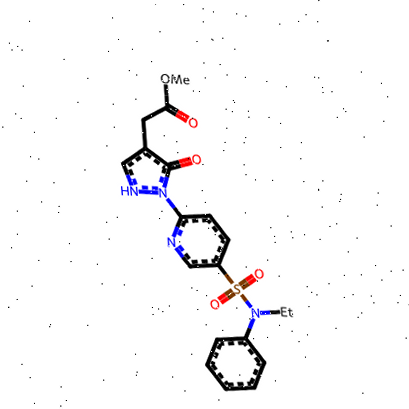 CCN(c1ccccc1)S(=O)(=O)c1ccc(-n2[nH]cc(CC(=O)OC)c2=O)nc1